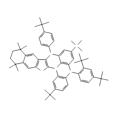 CC(C)(C)c1ccc(N2c3cc(S(C)(C)C)cc4c3B(c3cc(C(C)(C)C)ccc3N4c3ccc(C(C)(C)C)cc3C(C)(C)C)c3oc4cc5c(cc4c32)C(C)(C)CCC5(C)C)cc1